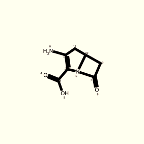 NC1=C(C(=O)O)N2C(=O)CC2C1